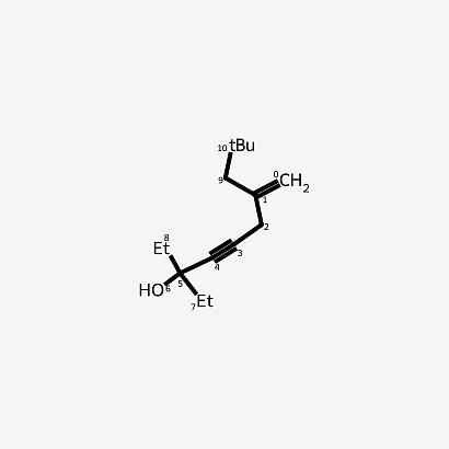 C=C(CC#CC(O)(CC)CC)CC(C)(C)C